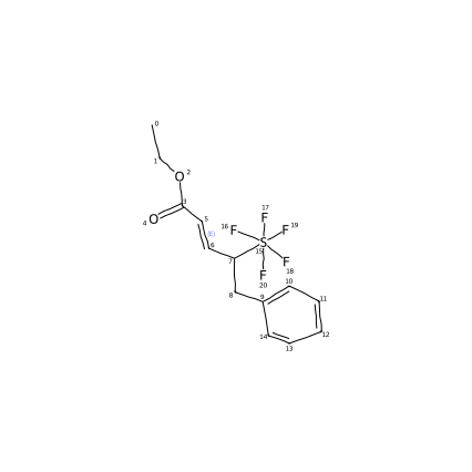 CCOC(=O)/C=C/C(Cc1ccccc1)S(F)(F)(F)(F)F